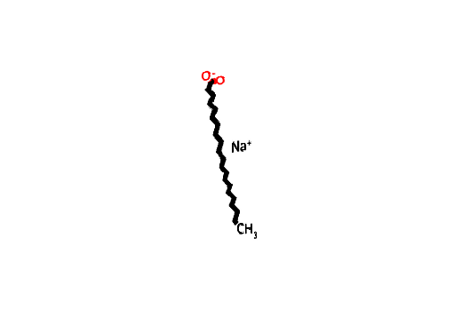 CCCCCCCCCCCCCCCCCCCCC(=O)[O-].[Na+]